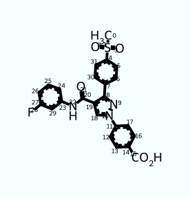 CS(=O)(=O)c1ccc(-c2nn(-c3ccc(C(=O)O)cc3)cc2C(=O)Nc2cccc(F)c2)cc1